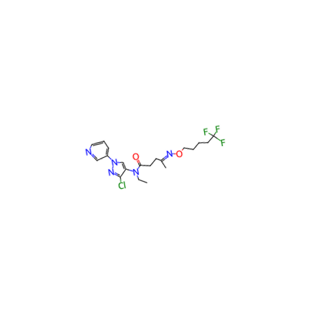 CCN(C(=O)CC/C(C)=N/OCCCCC(F)(F)F)c1cn(-c2cccnc2)nc1Cl